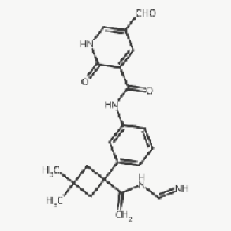 C=C(NC=N)C1(c2cccc(NC(=O)c3cc(C=O)c[nH]c3=O)c2)CC(C)(C)C1